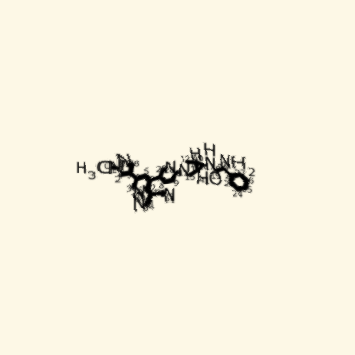 Cn1cc(-c2cc(-c3ccc(N4C[C@@H]5[C@H](C4)[C@H]5NC(=O)C(N)c4ccccc4)nc3)c3c(C#N)cnn3c2)cn1